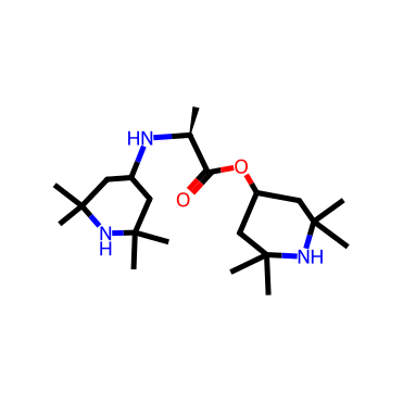 C[C@H](NC1CC(C)(C)NC(C)(C)C1)C(=O)OC1CC(C)(C)NC(C)(C)C1